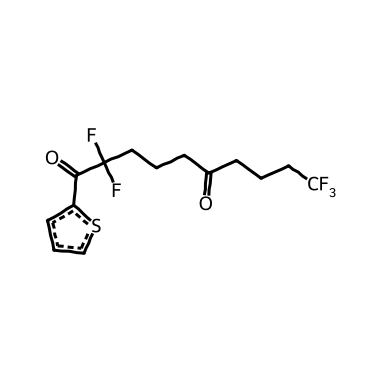 O=C(CCCC(F)(F)F)CCCC(F)(F)C(=O)c1cccs1